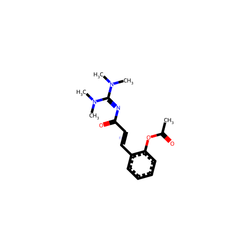 CC(=O)Oc1ccccc1/C=C/C(=O)N=C(N(C)C)N(C)C